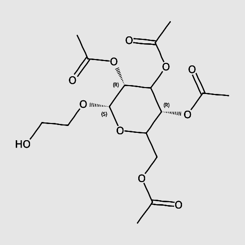 CC(=O)OCC1O[C@H](OCCO)[C@H](OC(C)=O)C(OC(C)=O)[C@@H]1OC(C)=O